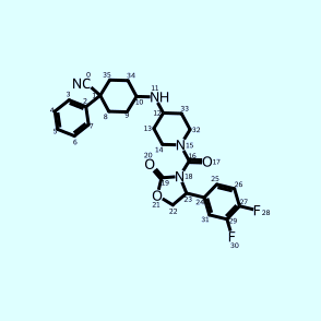 N#CC1(c2ccccc2)CCC(NC2CCN(C(=O)N3C(=O)OCC3c3ccc(F)c(F)c3)CC2)CC1